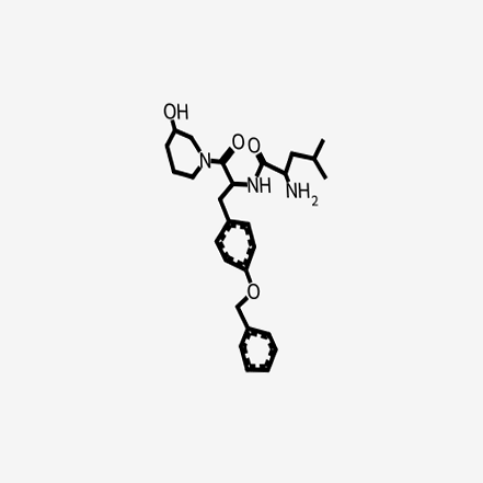 CC(C)CC(N)C(=O)NC(Cc1ccc(OCc2ccccc2)cc1)C(=O)N1CCCC(O)C1